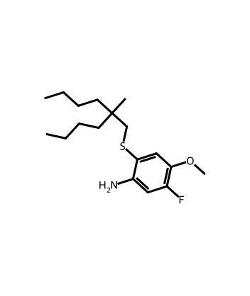 CCCCC(C)(CCCC)CSc1cc(OC)c(F)cc1N